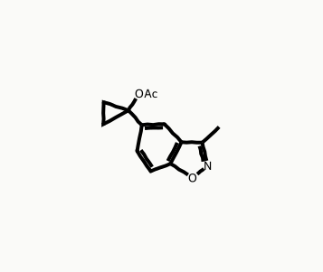 CC(=O)OC1(c2ccc3onc(C)c3c2)CC1